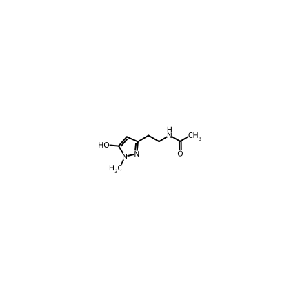 CC(=O)NCCc1cc(O)n(C)n1